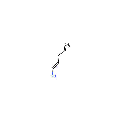 C=CC/C=C/N